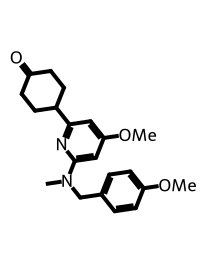 COc1ccc(CN(C)c2cc(OC)cc(C3CCC(=O)CC3)n2)cc1